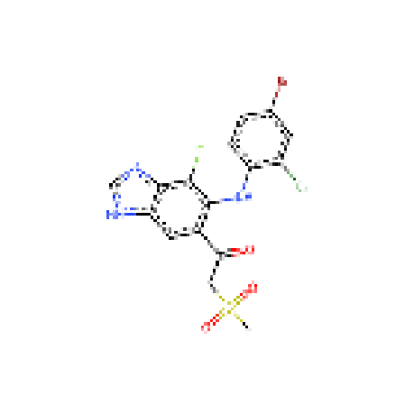 CS(=O)(=O)CC(=O)c1cc2[nH]cnc2c(F)c1Nc1ccc(Br)cc1Cl